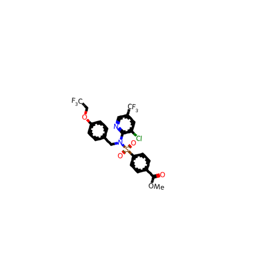 COC(=O)c1ccc(S(=O)(=O)N(Cc2ccc(OCC(F)(F)F)cc2)c2ncc(C(F)(F)F)cc2Cl)cc1